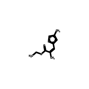 CCOC(=O)C(C)=Cc1cc(C)cs1